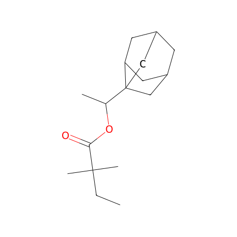 CCC(C)(C)C(=O)OC(C)C12CC3CC(CC1C3)C2